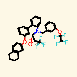 O[C@H](CN(Cc1cccc(OC(F)(F)C(F)F)c1)c1ccccc1-c1cccc(Oc2ccc3c(c2)CCCC3)c1)C(F)(F)F